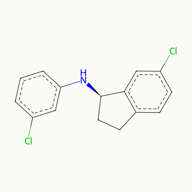 Clc1cccc(N[C@@H]2CCc3ccc(Cl)cc32)c1